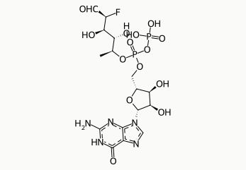 C[C@H](OP(=O)(OC[C@H]1O[C@@H](n2cnc3c(=O)[nH]c(N)nc32)[C@H](O)[C@@H]1O)OP(=O)(O)O)[C@@H](O)[C@@H](O)[C@H](F)C=O